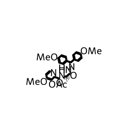 COc1ccc(C(=NNC(=O)[C@H](C)NC(=O)c2nccc(OC)c2OC(C)=O)c2ccc(OC)cc2)cc1